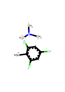 CN(C)C.Clc1cc(Cl)[c]([SnH])c(Cl)c1